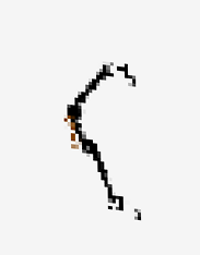 CCCCCCCCCCCCc1ccc(C(=S)CCCC(=S)c2ccc(CCCCCCCCCCCC)cc2)cc1